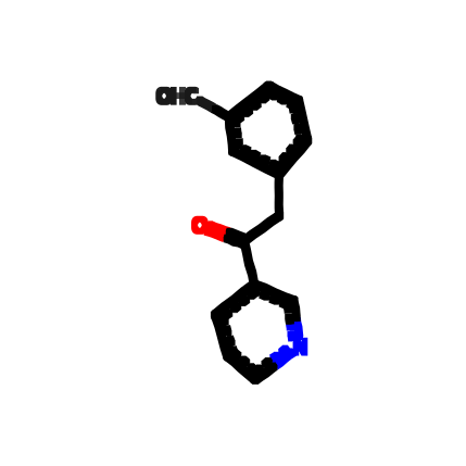 O=Cc1cccc(CC(=O)c2cccnc2)c1